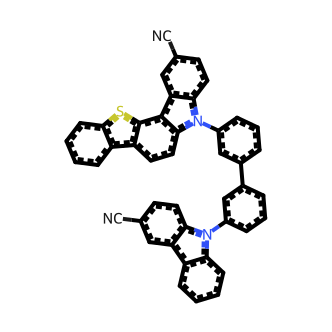 N#Cc1ccc2c(c1)c1ccccc1n2-c1cccc(-c2cccc(-n3c4ccc(C#N)cc4c4c5sc6ccccc6c5ccc43)c2)c1